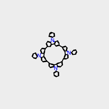 c1ccc(-n2c3ccc4cc3c3cc(ccc32)c2ccc3c(c2)c2cc(ccc2n3-c2ccccc2)c2ccc3c(c2)c2cc(ccc2n3-c2ccccc2)c2ccc3c(c2)c2cc4ccc2n3-c2ccccc2)cc#1